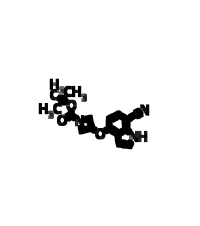 CC(C)(C)OC(=O)N1CC(Oc2ccc(C#N)c3[nH]ccc23)C1